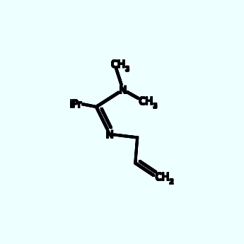 C=CCN=C(C(C)C)N(C)C